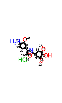 COc1cc(-c2nc(-c3cc(OC)c(O)c(OC)c3)oc2C)ccc1N.Cl